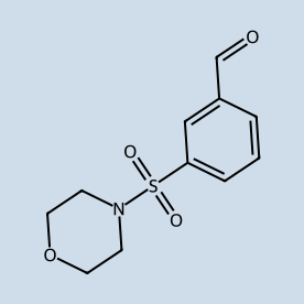 O=Cc1cccc(S(=O)(=O)N2CCOCC2)c1